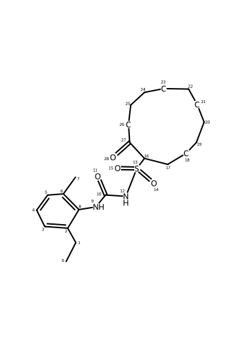 CCc1cccc(C)c1NC(=O)NS(=O)(=O)C1CCCCCCCCCCC1=O